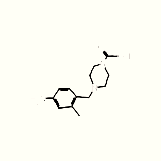 Cc1cc(N)ccc1CN1CCN(C(=O)O)CC1